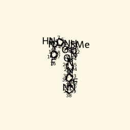 CS[C@@]1(C(=O)Nc2ccc3[nH]nc(-c4ccc(F)cc4)c3c2)CCN(CC(=O)N2CCN(c3ccc(-c4ncccn4)c(F)c3)CC2)C1